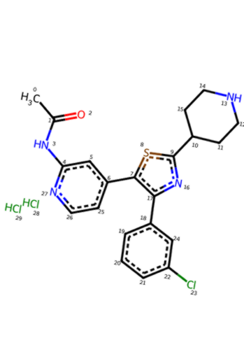 CC(=O)Nc1cc(-c2sc(C3CCNCC3)nc2-c2cccc(Cl)c2)ccn1.Cl.Cl